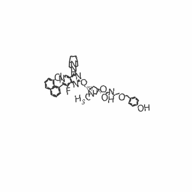 CN1C[C@H](OC(=O)NCCOCc2ccc(O)cc2)C[C@H]1COc1nc(N2CC3CCC(C2)N3)c2cnc(-c3cccc4cccc(Cl)c34)c(F)c2n1